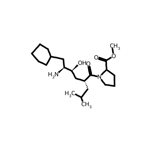 COC(=O)C1CCCN1C(=O)[C@H](CC(C)C)C[C@H](O)[C@@H](N)CC1CCCCC1